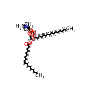 CCCCCCCC/C=C\CCCCCCCC(=O)OC[C@H](COP(=O)([O-])OCC[N+](C)(C)C)OC(=O)CCCCCCCCCCCCCCCC